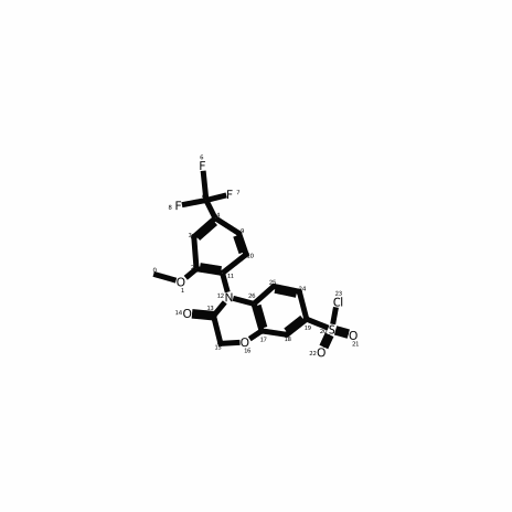 COc1cc(C(F)(F)F)ccc1N1C(=O)COc2cc(S(=O)(=O)Cl)ccc21